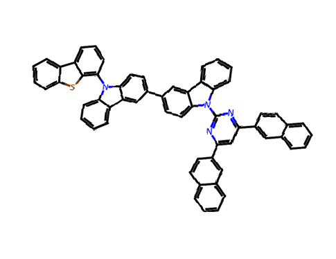 c1ccc2cc(-c3cc(-c4ccc5ccccc5c4)nc(-n4c5ccccc5c5cc(-c6ccc7c(c6)c6ccccc6n7-c6cccc7c6sc6ccccc67)ccc54)n3)ccc2c1